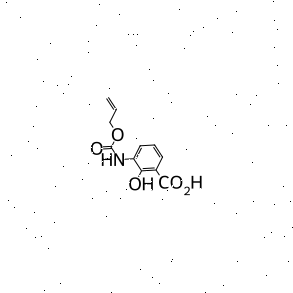 C=CCOC(=O)Nc1cccc(C(=O)O)c1O